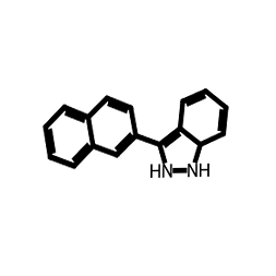 C1=CC2=C(c3ccc4ccccc4c3)NNC2C=C1